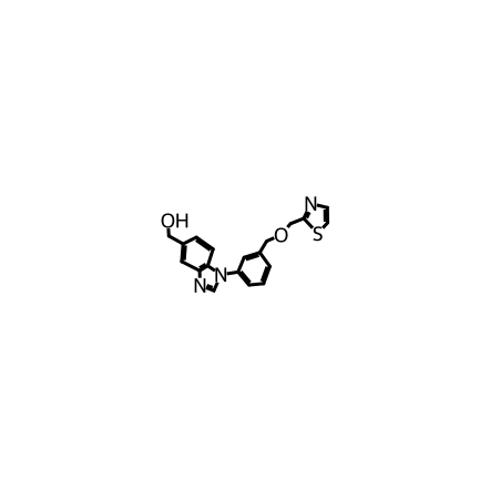 OCc1ccc2c(c1)ncn2-c1cccc(COCc2nccs2)c1